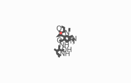 CCN(c1c(C2CC2)c(C(=O)NCC2=C(C)C=C(C)NC2O)cc2c1cnn2C)C1CCOCC1